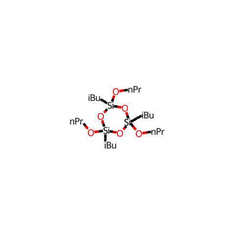 CCCO[Si]1(C(C)CC)O[Si](OCCC)(C(C)CC)O[Si](OCCC)(C(C)CC)O1